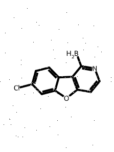 Bc1nccc2oc3cc(Cl)ccc3c12